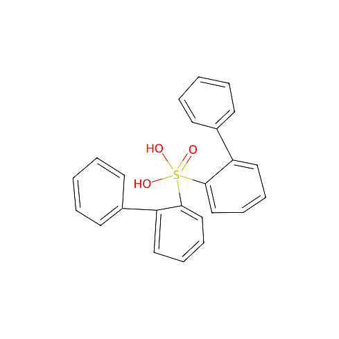 O=S(O)(O)(c1ccccc1-c1ccccc1)c1ccccc1-c1ccccc1